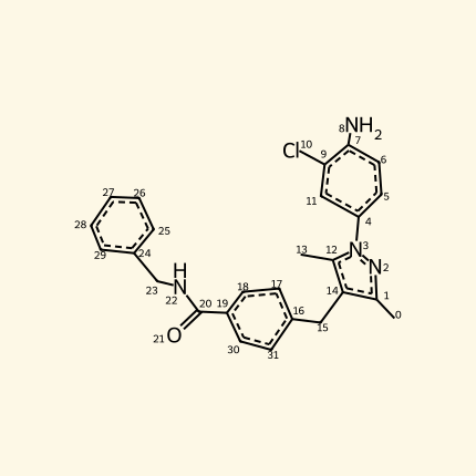 Cc1nn(-c2ccc(N)c(Cl)c2)c(C)c1Cc1ccc(C(=O)NCc2ccccc2)cc1